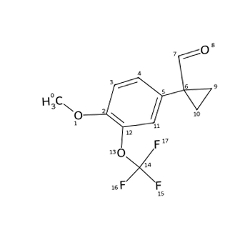 COc1ccc(C2(C=O)CC2)cc1OC(F)(F)F